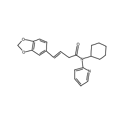 O=C(C/C=C/c1ccc2c(c1)OCO2)N(c1ccccn1)C1CCCCC1